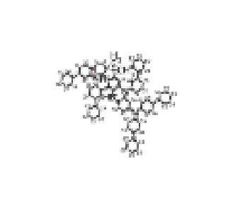 CC1(C)c2ccccc2-c2c1cc1c(c2-c2cc(-c3ccccc3)ccc2Nc2cccc(-c3ccccc3)c2)Bc2ccc(N(c3ccc(-c4ccccc4)cc3)c3ccc(-c4ccccc4)cc3)cc2N1c1cccc(-c2ccccc2)c1